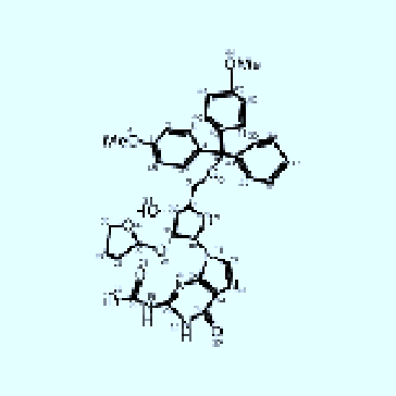 COc1ccc(C(OC[C@H]2O[C@@H](n3cnc4c(=O)[nH]c(NC(=O)C(C)C)nc43)[C@H](OC3CCCO3)[C@@H]2O)(c2ccccc2)c2ccc(OC)cc2)cc1